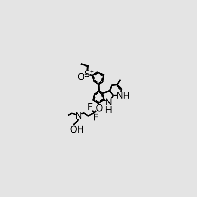 CCN(CCO)CCC(F)(F)Oc1ccc(-c2cccc([S+]([O-])CC)c2)c2c1NC1NC=C(C)CC21